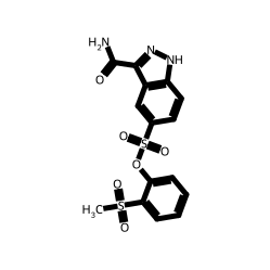 CS(=O)(=O)c1ccccc1OS(=O)(=O)c1ccc2[nH]nc(C(N)=O)c2c1